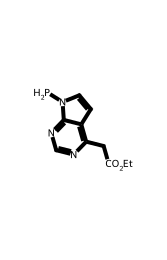 CCOC(=O)Cc1ncnc2c1ccn2P